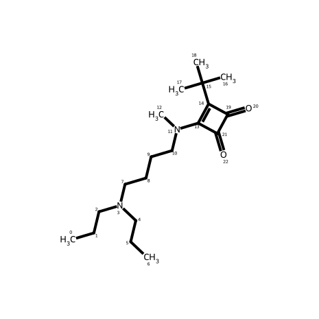 CCCN(CCC)CCCCN(C)c1c(C(C)(C)C)c(=O)c1=O